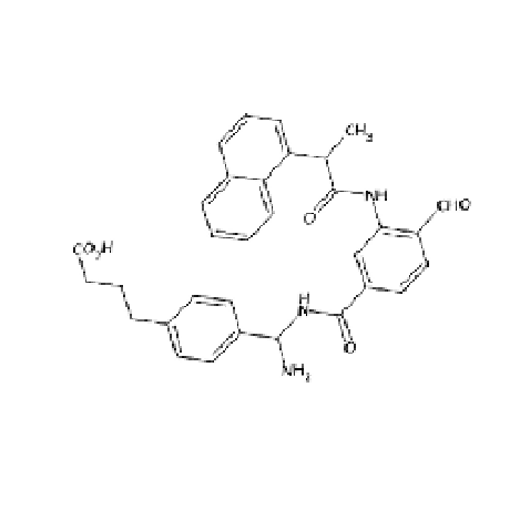 CC(C(=O)Nc1cc(C(=O)NC(N)c2ccc(CCCC(=O)O)cc2)ccc1C=O)c1cccc2ccccc12